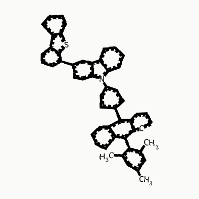 Cc1cc(C)c(-c2c3ccccc3c(-c3ccc(-n4c5ccccc5c5cc(-c6cccc7c6sc6ccccc67)ccc54)cc3)c3ccccc23)c(C)c1